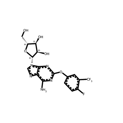 Nc1nc(Oc2ccc(F)c(C(F)(F)F)c2)nc2c1ncn2[C@@H]1O[C@H](CO)[C@@H](O)[C@H]1O